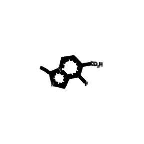 Cc1ncc2c(F)c(C(=O)O)ccn12